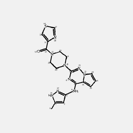 Cc1cc(Nc2nc(N3CCN(C(=O)c4cscn4)CC3)nn3cccc23)n[nH]1